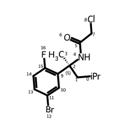 CC(C)C[C@](C)(NC(=O)CCl)c1cc(Br)ccc1F